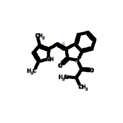 Cc1cc(C)c(/C=C2\C(=O)N(C(=O)C(C)N)c3ccccc32)[nH]1